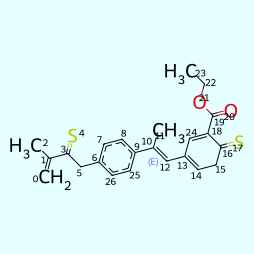 C=C(C)C(=S)Cc1ccc(/C(C)=C/C2=CCC(=S)C(C(=O)OCC)=C2)cc1